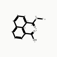 O=C(O)c1cccc2cccc(C(=O)OF)c12